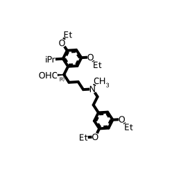 CCOc1cc(CCN(C)CCC[C@@H](C=O)c2cc(OCC)cc(OCC)c2C(C)C)cc(OCC)c1